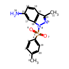 Cc1ccc(S(=O)(=O)n2nc(C)c3ccc(N)cc32)cc1